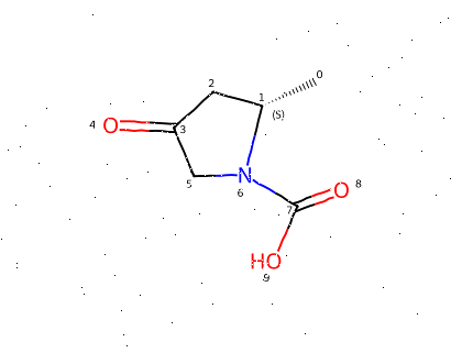 C[C@H]1CC(=O)CN1C(=O)O